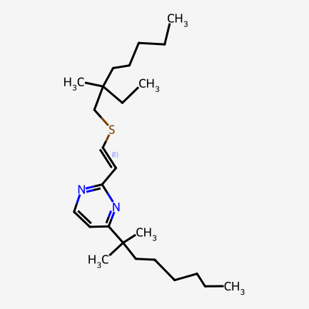 CCCCCCC(C)(C)c1ccnc(/C=C/SCC(C)(CC)CCCCC)n1